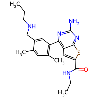 CCCNCc1cc(-c2nc(N)nc3sc(C(=O)NCC)cc23)c(C)cc1C